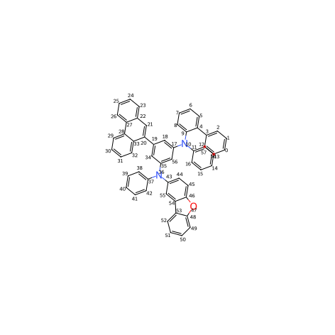 c1ccc(-c2ccccc2N(c2ccccc2)c2cc(-c3cc4ccccc4c4ccccc34)cc(N(c3ccccc3)c3ccc4oc5ccccc5c4c3)c2)cc1